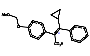 COCOc1ccc(/C(C(=O)O)=C(/c2ccccc2)C2CC2)cc1